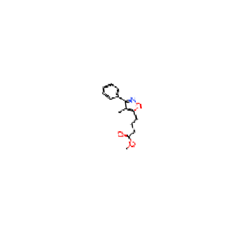 COC(=O)CCCc1onc(-c2ccccc2)c1C